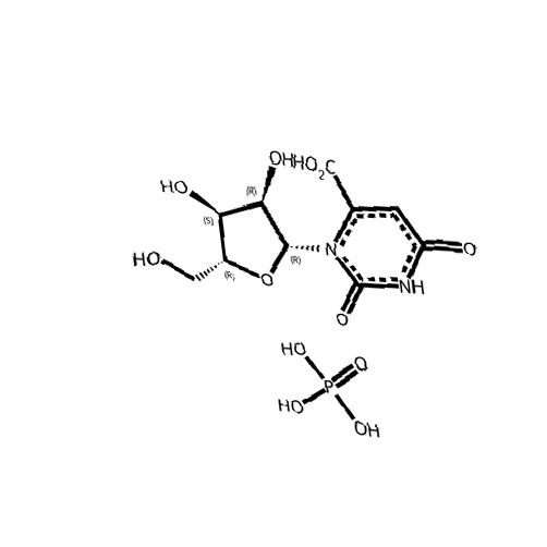 O=C(O)c1cc(=O)[nH]c(=O)n1[C@@H]1O[C@H](CO)[C@@H](O)[C@H]1O.O=P(O)(O)O